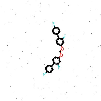 Fc1ccc(-c2ccc(OCOc3ccc(-c4ccc(F)cc4)c(F)c3)cc2F)cc1